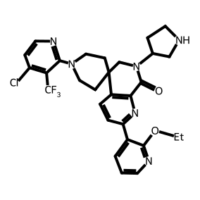 CCOc1ncccc1-c1ccc2c(n1)C(=O)N(C1CCNC1)CC21CCN(c2nccc(Cl)c2C(F)(F)F)CC1